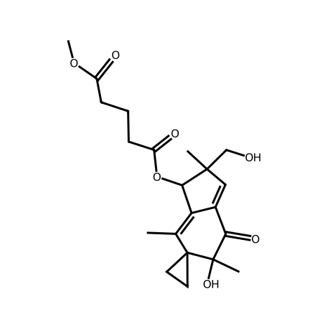 COC(=O)CCCC(=O)OC1C2=C(C)C3(CC3)C(C)(O)C(=O)C2=CC1(C)CO